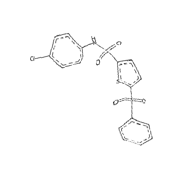 O=S(=O)(Nc1ccc(Cl)cc1)c1ccc(S(=O)(=O)c2ccccc2)s1